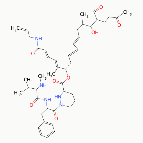 C=CCNC(=O)/C=C/C=C(\C)[C@H](C/C=C/C=C/CC(C)C(O)C(C=O)CCC(C)=O)OC(=O)C1CCCN(C(=O)C(Cc2ccccc2)NC(=O)C(NC)C(C)C)N1